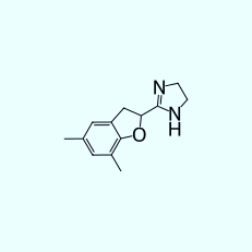 Cc1cc(C)c2c(c1)CC(C1=NCCN1)O2